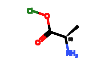 C[C@H](N)C(=O)OCl